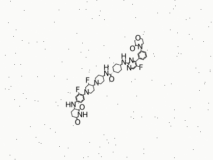 O=C1CCC(Nc2ccc(N3CCC(N4CCC(NC(=O)[C@H]5CC[C@H](Nc6ncc(F)c(-c7cccc(N8CCOCC8=O)c7)n6)CC5)CC4)C(F)C3)c(F)c2)C(=O)N1